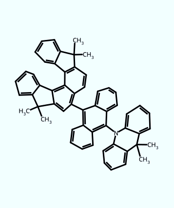 CC1(C)c2ccccc2N(c2c3ccccc3c(-c3cc4c(c5c6c(ccc35)C(C)(C)c3ccccc3-6)-c3ccccc3C4(C)C)c3ccccc23)c2ccccc21